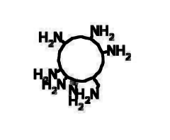 NCC1CCC(N)CC(N)CCC(N)CCC(N)C(N)[C@@H](N)C1